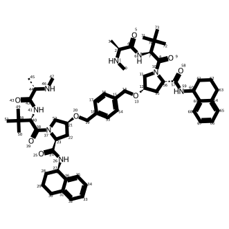 CN[C@@H](C)C(=O)N[C@H](C(=O)N1C[C@@H](OCc2ccc(CO[C@H]3C[C@@H](C(=O)N[C@@H]4CCCc5ccccc54)N(C(=O)[C@@H](NC(=O)[C@H](C)NC)C(C)(C)C)C3)cc2)C[C@H]1C(=O)NC1CCCc2ccccc21)C(C)(C)C